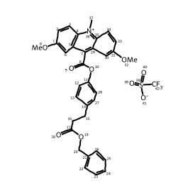 COc1ccc2c(c1)c(C(=O)Oc1ccc(CCC(=O)OCc3ccccc3)cc1)c1cc(OC)ccc1[n+]2C.O=S(=O)([O-])C(F)(F)F